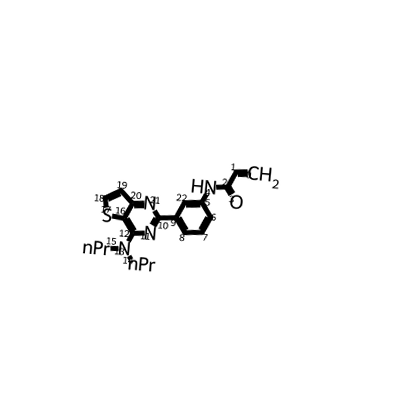 C=CC(=O)Nc1cccc(-c2nc(N(CCC)CCC)c3sccc3n2)c1